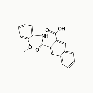 COc1ccccc1NC(=O)c1cc2ccccc2cc1C(=O)O